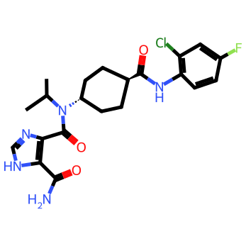 CC(C)N(C(=O)c1nc[nH]c1C(N)=O)[C@H]1CC[C@H](C(=O)Nc2ccc(F)cc2Cl)CC1